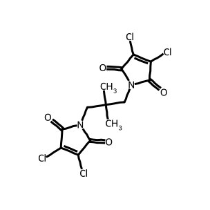 CC(C)(CN1C(=O)C(Cl)=C(Cl)C1=O)CN1C(=O)C(Cl)=C(Cl)C1=O